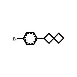 Brc1ccc(C2CC3(CCC3)C2)cc1